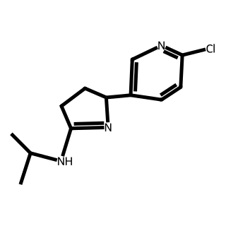 CC(C)NC1=NC(c2ccc(Cl)nc2)CC1